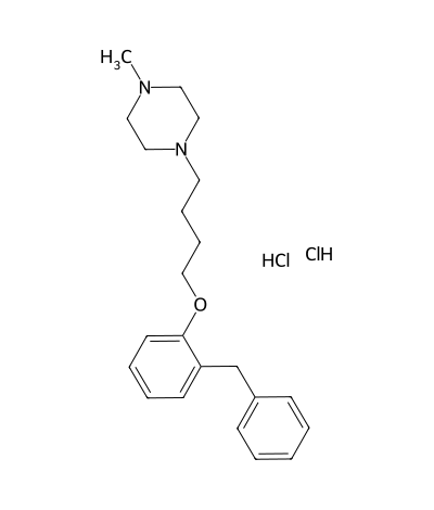 CN1CCN(CCCCOc2ccccc2Cc2ccccc2)CC1.Cl.Cl